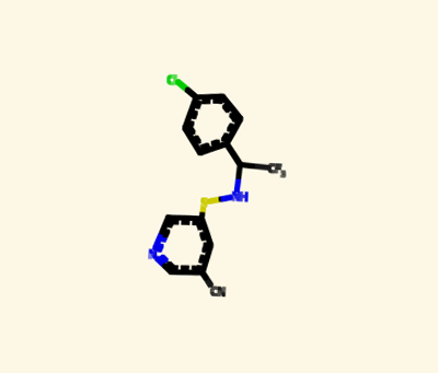 N#Cc1cncc(SNC(c2ccc(Cl)cc2)C(F)(F)F)c1